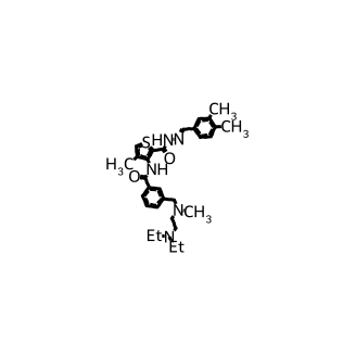 CCN(CC)CCN(C)Cc1cccc(C(=O)Nc2c(C)csc2C(=O)N/N=C/c2ccc(C)c(C)c2)c1